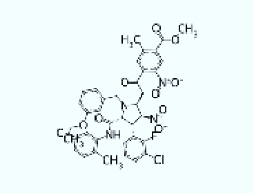 CCOc1cccc(CN2[C@@H](CC(=O)c3cc(C)c(C(=O)OC)cc3[N+](=O)[O-])[C@@H]([N+](=O)[O-])[C@H](c3cccc(Cl)c3F)[C@@H]2C(=O)Nc2cc(Cl)ccc2C)c1